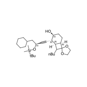 CCCCC1[C@H]2[C@H](C#C[C@H](CC3CCCCC3)O[Si](C)(C)C(C)(C)C)[C@@H](O)CC[C@H]2C12OCCO2